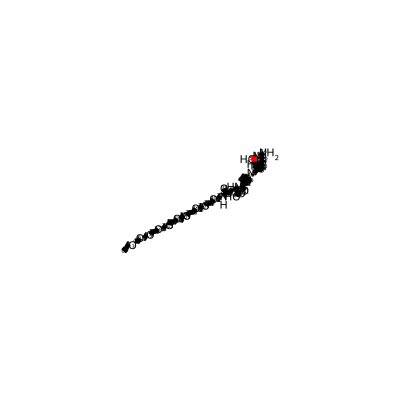 C#CCOCCOCCOCCOCCOCCOCCOCCOCCOCCOCCNC(=O)CC[C@H](NC(=O)c1ccc(NCc2cnc3nc(N)nc(O)c3n2)cc1)C(=O)O